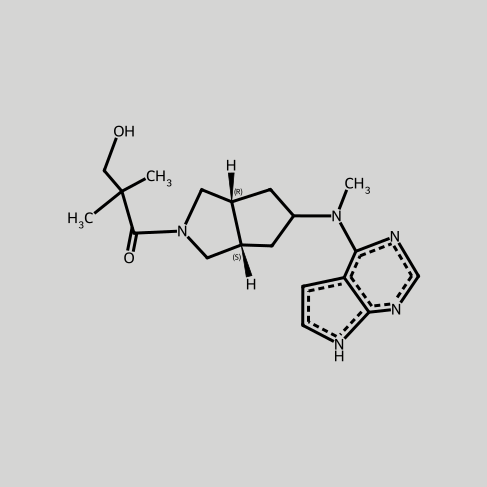 CN(c1ncnc2[nH]ccc12)C1C[C@@H]2CN(C(=O)C(C)(C)CO)C[C@@H]2C1